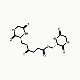 O=C1CNC(=O)[C@H](CSC(=O)CCC(=O)SC[C@@H]2NC(=O)CNC2=O)N1